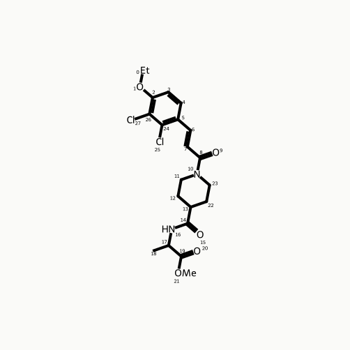 CCOc1ccc(/C=C/C(=O)N2CCC(C(=O)NC(C)C(=O)OC)CC2)c(Cl)c1Cl